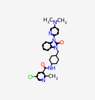 Cc1ncc(Cl)cc1C(=O)NC1CCC(Cn2c(=O)n(-c3ccc(N(C)C)cn3)c3ccccc32)CC1